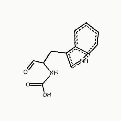 O=CC(Cc1c[nH]c2ccccc12)NC(=O)O